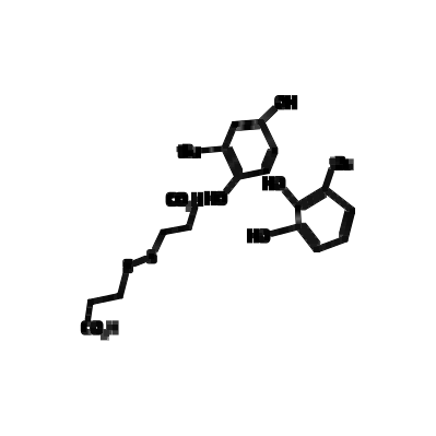 CC(C)(C)c1cc(O)ccc1O.CC(C)(C)c1cccc(O)c1O.O=C(O)CCSSCCC(=O)O